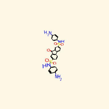 Nc1ccc(NS(=O)(=O)c2ccc3c(c2)C(=O)c2cc(S(=O)(=O)Nc4ccc(N)cc4)ccc2-3)cc1